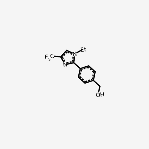 CCn1cc(C(F)(F)F)nc1-c1ccc(CO)cc1